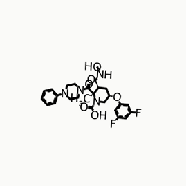 C[C@@]1(C(=O)N2CCN(c3ccccc3)CC2)[C@@H](C(=O)NO)C[C@H](Oc2cc(F)cc(F)c2)CN1C(=O)O